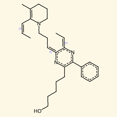 C/C=C\C1=C(C)CCCN1CC/C=c1/nc(CCCCCO)c(-c2ccccc2)n/c1=C/C